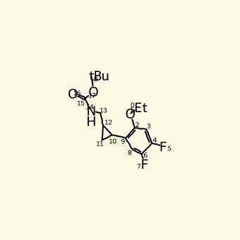 CCOc1cc(F)c(F)cc1C1CC1CNC(=O)OC(C)(C)C